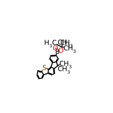 CC1(C)c2cc(B3OC(C)(C)C(C)(C)O3)ccc2-c2c1ccc1c2sc2ccccc21